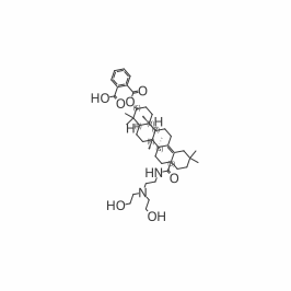 CC1(C)CC[C@]2(C(=O)NCCN(CCO)CCO)CC[C@]3(C)C(=C2C1)CC[C@@H]1[C@@]2(C)CC[C@H](OC(=O)c4ccccc4C(=O)O)C(C)(C)[C@@H]2CC[C@]13C